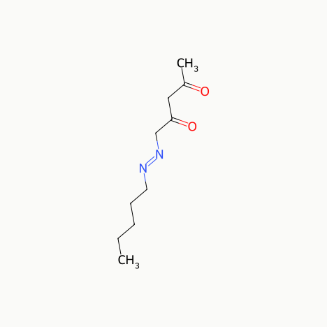 CCCCCN=NCC(=O)CC(C)=O